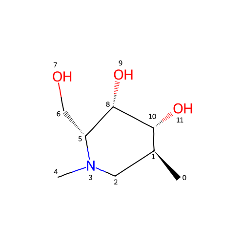 C[C@H]1CN(C)[C@H](CO)[C@H](O)[C@@H]1O